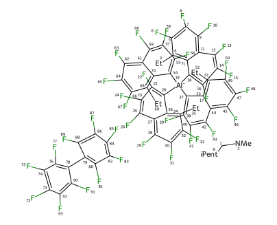 CCCC(C)C[NH2+]C.CCc1c(F)c(F)c(F)c2c(F)c(F)c(F)[c]([Al-]([c]3c(F)c(F)c(F)c4c(F)c(F)c(F)c(CC)c34)([c]3c(F)c(F)c(F)c4c(F)c(F)c(F)c(CC)c34)[c]3c(F)c(F)c(F)c4c(F)c(F)c(F)c(CC)c34)c12.Fc1c(F)c(F)c(-c2c(F)c(F)c(F)c(F)c2F)c(F)c1F